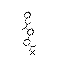 CC(C)(C)OC(=O)N1CCC=C(c2ccnc(C(=O)N(O)Cc3ccccc3)c2)C1